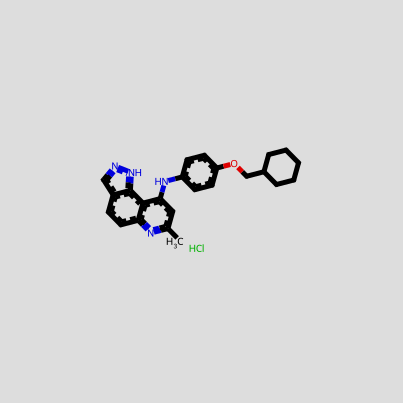 Cc1cc(Nc2ccc(OCC3CCCCC3)cc2)c2c(ccc3cn[nH]c32)n1.Cl